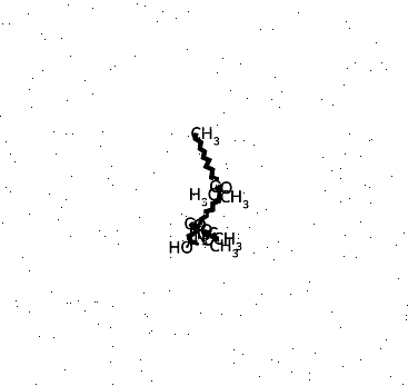 CCCCCCCCCCCOC(=O)C(C)(C)CCCCCCOC(=O)[C@@H]1C[C@H](O)CN1C(=O)OC(C)(C)C